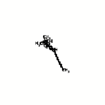 CCCCCCCCCCCCCCCCNc1ccc(C(=O)OC(C(=O)OCC)C(O)C(=O)OCC)cc1